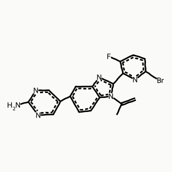 C=C(C)n1c(-c2nc(Br)ccc2F)nc2cc(-c3cnc(N)nc3)ccc21